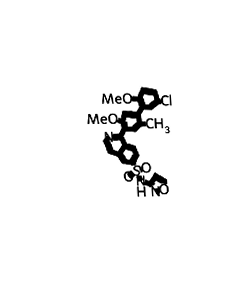 COc1ccc(Cl)cc1-c1cc(OC)c(-c2nccc3cc(S(=O)(=O)Nc4ccon4)ccc23)cc1C